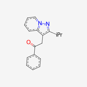 CC(C)c1nn2ccccc2c1CC(=O)c1ccccc1